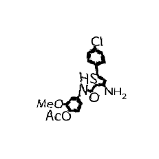 COc1cc(NC(=O)c2sc(-c3ccc(Cl)cc3)cc2N)ccc1OC(C)=O